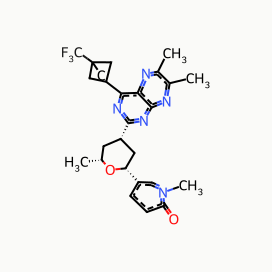 Cc1nc2nc([C@H]3C[C@@H](C)O[C@@H](c4ccc(=O)n(C)c4)C3)nc(C34CC(C(F)(F)F)(C3)C4)c2nc1C